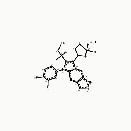 CC(C)(CC#N)c1c(C2CC[C@@](O)(C(=O)O)C2)c2nc3[nH]ncc3cc2n1-c1ccc(F)c(F)c1